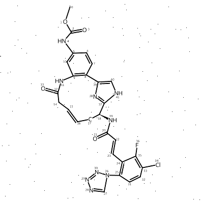 COC(=O)Nc1ccc2c(c1)NC(=O)C/C=C/C[C@H](NC(=O)/C=C/c1c(-n3cnnn3)ccc(Cl)c1F)c1nc-2c[nH]1